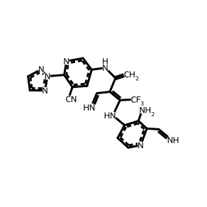 C=C(Nc1cnc(-n2nccn2)c(C#N)c1)/C(C=N)=C(/Nc1ccnc(C=N)c1N)C(F)(F)F